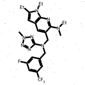 CCc1cc2cc(CN(Cc3cc(F)cc(C(F)(F)F)c3)c3nnn(C)n3)c(N(C)CC)nc2n1CC